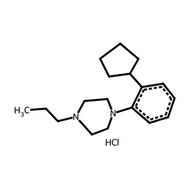 CCCN1CCN(c2ccccc2C2CCCC2)CC1.Cl